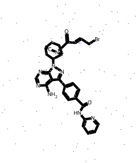 Nc1ncnc2c1c(-c1ccc(C(=O)Nc3ccccn3)cc1)nn2C1CC2CCC1N(C(=O)/C=C/CBr)C2